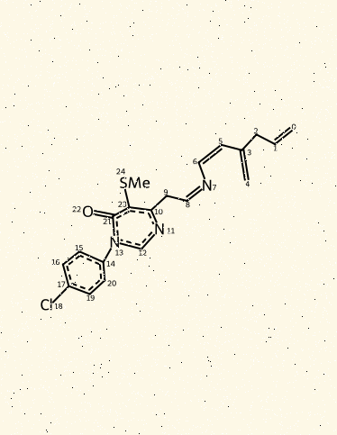 C=CCC(=C)/C=C\N=C/Cc1ncn(-c2ccc(Cl)cc2)c(=O)c1SC